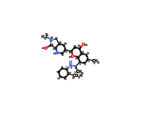 Cc1cc(C(C)Nc2ccccc2C(=O)O)c2oc(-c3cnc4c(c3)CN(C)C4=O)cc(=O)c2c1